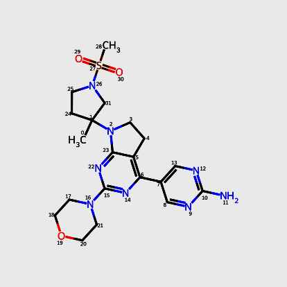 CC1(N2CCc3c(-c4cnc(N)nc4)nc(N4CCOCC4)nc32)CCN(S(C)(=O)=O)C1